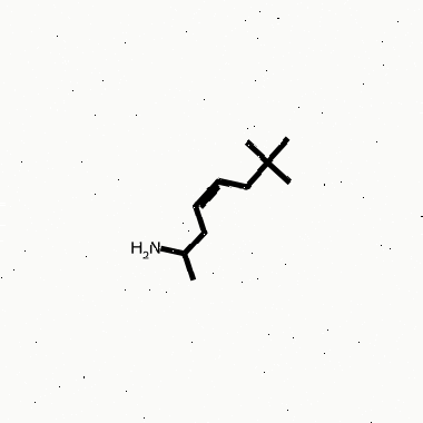 CC(N)C/C=C\CC(C)(C)C